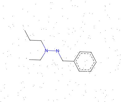 CCCN(CC)[N]Cc1ccccc1